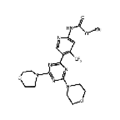 CC(C)(C)OC(=O)Nc1cc(C(F)(F)F)c(-c2nc(N3CCOCC3)nc(N3CCOCC3)n2)cn1